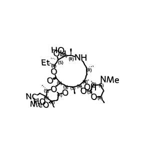 CC[C@H]1OC(=O)[C@H](C)[C@@H](O[C@H]2C[C@@](C)(OC)[C@](O)(CC#N)[C@H](C)O2)[C@H](C)[C@@H](O[C@@H]2O[C@H](C)C[C@H](NC)[C@H]2C)[C@](C)(O)C[C@@H](C)CN[C@H](C)[C@@H](O)[C@]1(C)O